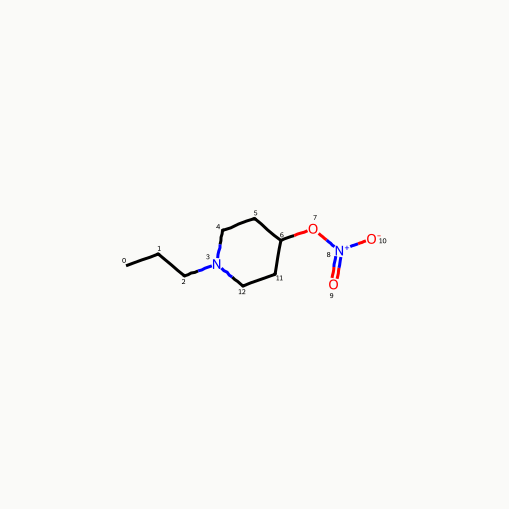 CCCN1CCC(O[N+](=O)[O-])CC1